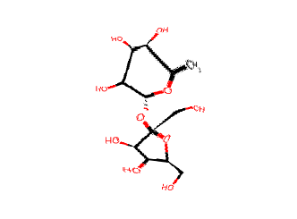 CC1O[C@H](O[C@]2(CO)O[C@@H](CO)C(O)[C@H]2O)C(O)[C@@H](O)[C@H]1O